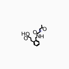 CC(=O)/C=C/C(=O)NCc1ccccc1CCC(=O)O